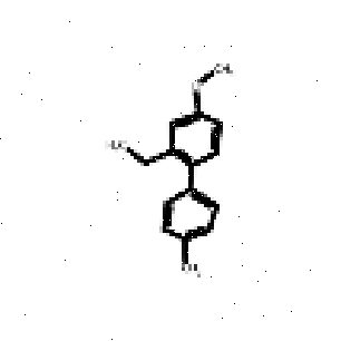 CCc1cc(OC)ccc1-c1ccc(C)cc1